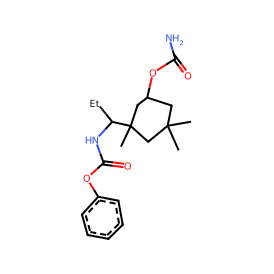 CCC(NC(=O)Oc1ccccc1)C1(C)CC(OC(N)=O)CC(C)(C)C1